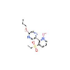 CCCOc1cnc(-c2c(S(=O)(=O)CC)ccc[n+]2[O-])cn1